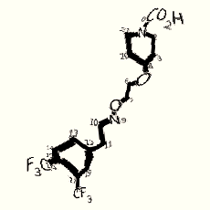 O=C(O)N1CCC(OCCON=CCc2ccc(C(F)(F)F)c(C(F)(F)F)c2)CC1